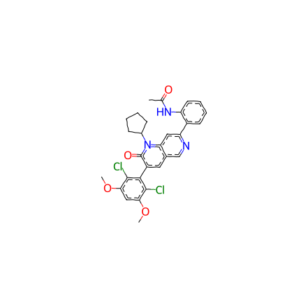 COc1cc(OC)c(Cl)c(-c2cc3cnc(-c4ccccc4NC(C)=O)cc3n(C3CCCC3)c2=O)c1Cl